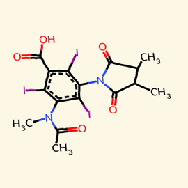 CC(=O)N(C)c1c(I)c(C(=O)O)c(I)c(N2C(=O)C(C)C(C)C2=O)c1I